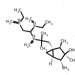 B[C@@H]1[C@H]2C[C@@]2(CC(C)(C)[PH](=C)C(C[PH](=C)CC)[PH](=C)CC)[C@@H](C)[C@@]1(C)O